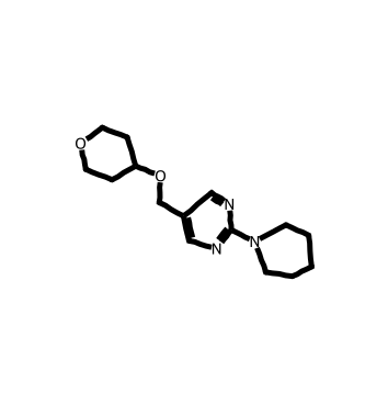 c1nc(N2CCCCC2)ncc1COC1CCOCC1